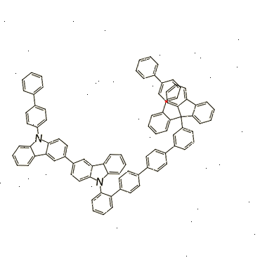 c1ccc(-c2ccc(-n3c4ccccc4c4cc(-c5ccc6c(c5)c5ccccc5n6-c5ccccc5-c5ccc(-c6ccc(-c7cccc(C8(c9ccccc9-c9cccc(-c%10ccccc%10)c9)c9ccccc9-c9ccccc98)c7)cc6)cc5)ccc43)cc2)cc1